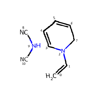 C=CN1C=CC=CC1.N#CNC#N